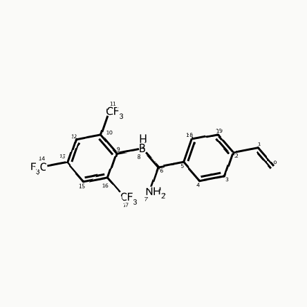 C=Cc1ccc(C(N)Bc2c(C(F)(F)F)cc(C(F)(F)F)cc2C(F)(F)F)cc1